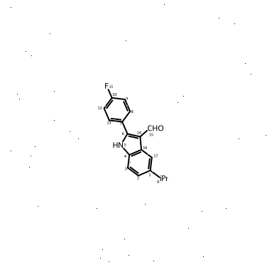 CC(C)c1ccc2[nH]c(-c3ccc(F)cc3)c(C=O)c2c1